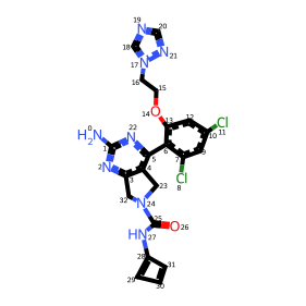 Nc1nc2c(c(-c3c(Cl)cc(Cl)cc3OCCn3cncn3)n1)CN(C(=O)NC1=CC=C1)C2